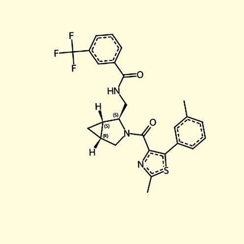 Cc1cccc(-c2sc(C)nc2C(=O)N2C[C@@H]3C[C@@H]3[C@H]2CNC(=O)c2cccc(C(F)(F)F)c2)c1